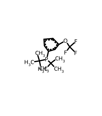 CC(C)(C)P(c1cccc(OC(F)(F)F)c1)C(C)(C)C